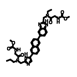 CCCN(Cc1ncc(-c2ccc3cc(-c4ccc5[nH]c(CN(CC)C(=O)CNC(=O)OC)nc5c4)ccc3c2)[nH]1)C(=O)CNC(=O)OC